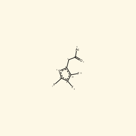 CC(=O)C(=O)Cc1sc(F)c(F)c1F